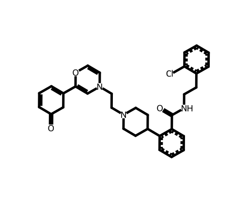 O=C1C=CC=C(C2=CN(CCN3CCC(c4ccccc4C(=O)NCCc4ccccc4Cl)CC3)C=CO2)C1